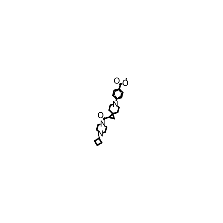 COC(=O)c1ccc(N2CCC3(CC2)CC3C(=O)N2CCN(C3CCC3)CC2)cc1